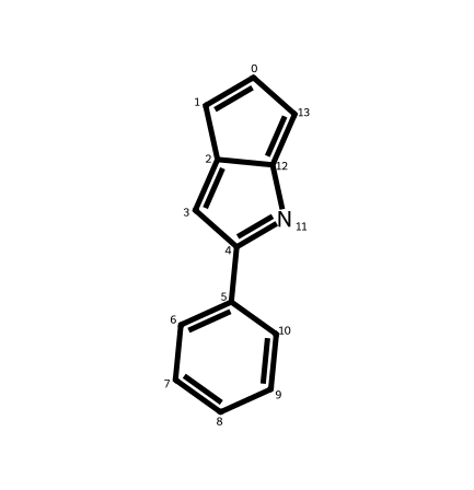 C1=CC2=CC(c3ccccc3)=NC2=C1